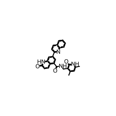 Cc1cc(C)c(CNC(=O)c2cc(-c3ccc4ccccc4n3)cc3[nH]c(=O)ccc23)c(=O)[nH]1